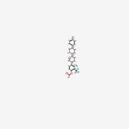 CC(=O)Oc1ccc(C2CCC(C3CCC(c4ccc(C)cc4)CC3)OC2)c(F)c1C(F)(F)F